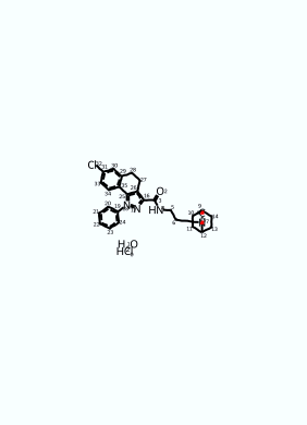 Cl.O.O=C(NCCN1CC2CCC(CC2)C1)c1nn(-c2ccccc2)c2c1CCc1cc(Cl)ccc1-2